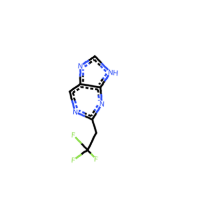 FC(F)(F)Cc1ncc2nc[nH]c2n1